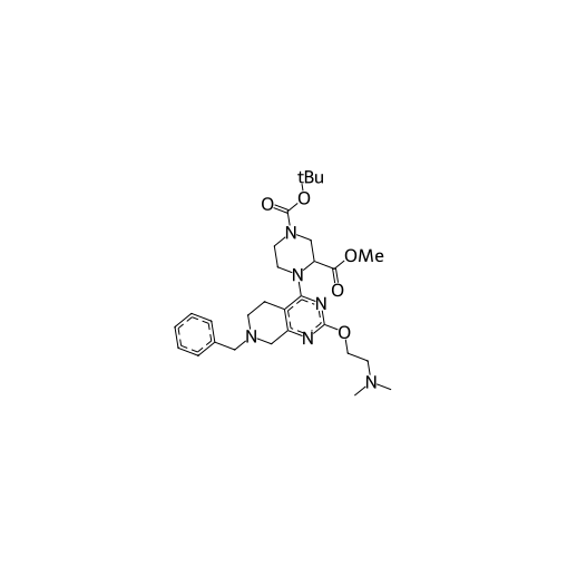 COC(=O)C1CN(C(=O)OC(C)(C)C)CCN1c1nc(OCCN(C)C)nc2c1CCN(Cc1ccccc1)C2